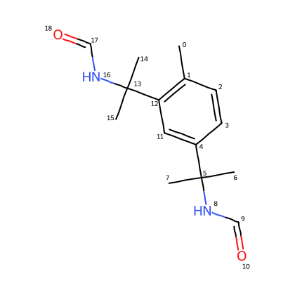 Cc1ccc(C(C)(C)NC=O)cc1C(C)(C)NC=O